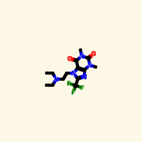 CCN(CC)CCn1c(C(F)(F)F)nc2c1c(=O)n(C)c(=O)n2C